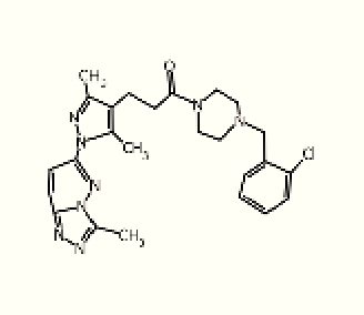 Cc1nn(-c2ccc3nnc(C)n3n2)c(C)c1CCC(=O)N1CCN(Cc2ccccc2Cl)CC1